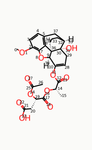 COc1ccc2c3c1O[C@@H]1C(OC(=O)[C@H](C)OC(=O)[C@H](CC(=O)O)OC(C)=O)=CC[C@]4(O)[C@@H](CCC[C@@]314)C2